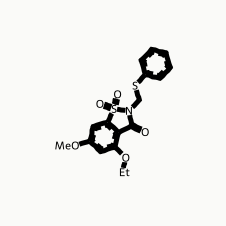 CCOc1cc(OC)cc2c1C(=O)N(CSc1ccccc1)S2(=O)=O